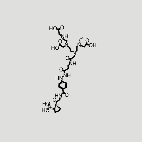 CCN(CCN(CCN(CCNCC(=O)O)CC(=O)O)CC(=O)NCCC(=O)NNc1ccc(C(=O)NCC(=O)N2CCC[C@H]2B(O)O)cc1)CC(=O)O